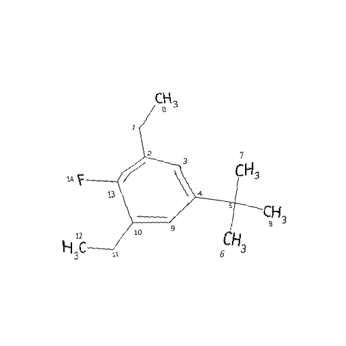 CCc1cc(C(C)(C)C)cc(CC)c1F